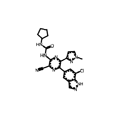 Cn1ccc(-c2nc(NC(=O)NC3CCCC3)c(C#N)nc2-c2cc(Cl)c3[nH]ncc3c2)n1